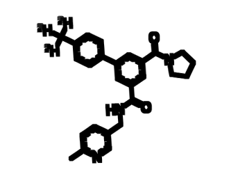 [2H]C([2H])([2H])c1ccc(-c2cc(C(=O)NCc3ccc(C)nc3)cc(C(=O)N3CCCC3)c2)cc1